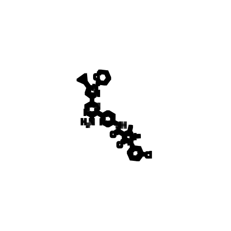 Cc1c(C(=O)Nc2ccc(-c3nc(-c4cc(C5CC5)n(C5CCCCO5)n4)cnc3N)nc2)c(=O)n(-c2cccc(Cl)c2)n1C